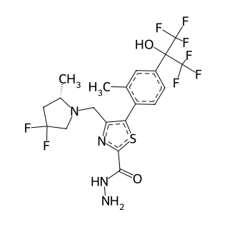 Cc1cc(C(O)(C(F)(F)F)C(F)(F)F)ccc1-c1sc(C(=O)NN)nc1CN1CC(F)(F)C[C@@H]1C